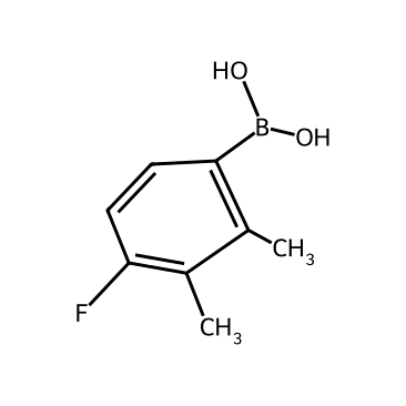 Cc1c(F)ccc(B(O)O)c1C